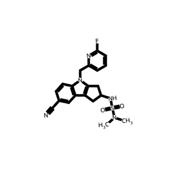 CN(C)S(=O)(=O)NC1Cc2c(n(Cc3cccc(F)n3)c3ccc(C#N)cc23)C1